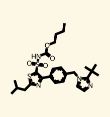 CCCCOC(=O)NS(=O)(=O)c1sc(CC(C)C)nc1-c1ccc(Cn2ccnc2C(C)(C)C)cc1